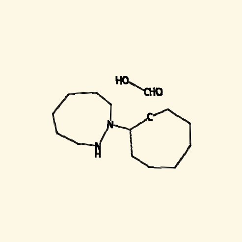 C1CCCC(N2CCCCCCN2)CCC1.O=CO